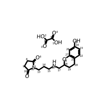 O=C(O)C(=O)O.O=C1CCC(=O)N1CCCNCC1CCc2ccc(O)cc2O1